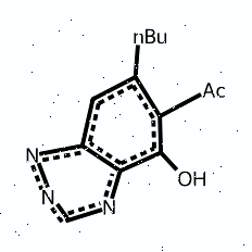 CCCCc1cc2nncnc2c(O)c1C(C)=O